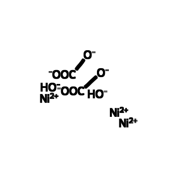 O=C([O-])[O-].O=C([O-])[O-].[Ni+2].[Ni+2].[Ni+2].[OH-].[OH-]